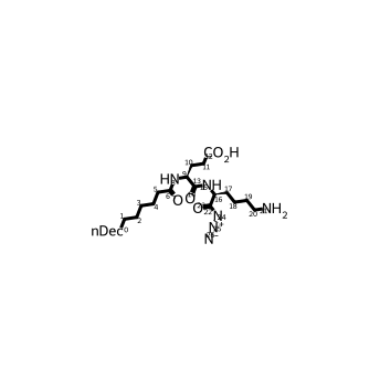 CCCCCCCCCCCCCCCC(=O)N[C@@H](CCC(=O)O)C(=O)N[C@@H](CCCCN)C(=O)N=[N+]=[N-]